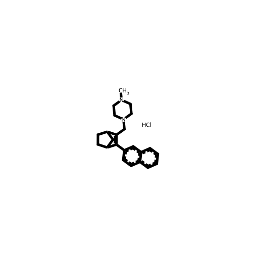 CN1CCN(CC2=C(c3ccc4ccccc4c3)C3CCC2C3)CC1.Cl